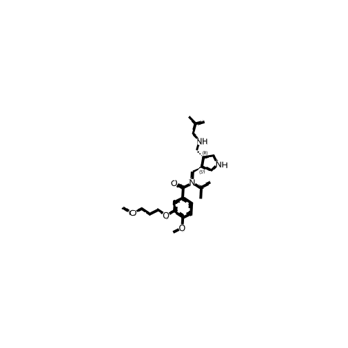 COCCCOc1cc(C(=O)N(C[C@@H]2CNC[C@H]2CNCC(C)C)C(C)C)ccc1OC